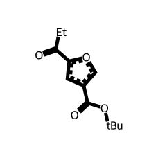 CCC(=O)c1cc(C(=O)OC(C)(C)C)co1